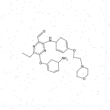 CCc1nc(C=O)c(NC2C=CC(OCCN3CCOCC3)=CC2)nc1OC1=CC=CC(N)C1